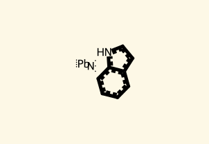 [N].[Pb].c1ccc2[nH]ccc2c1